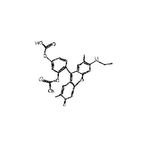 CCNc1cc2oc3cc(=O)c(C)cc-3c(-c3ccc(OC(=O)O)cc3OC(=O)O)c2cc1C